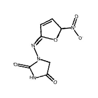 O=C1CN(N=C2C=CC([N+](=O)[O-])O2)C(=O)N1